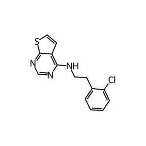 Clc1ccccc1CCNc1ncnc2sccc12